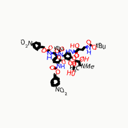 CN[C@@H](C)[C@@H](O)[C@H](OCCO)O[C@@H]1[C@@H](O)[C@H](O[C@H]2OC(CNC(=O)OCc3ccc([N+](=O)[O-])cc3)=CC[C@H]2NC(=O)OCc2ccc([N+](=O)[O-])cc2)[C@@H](NC(=O)OC(C)(C)C)C[C@H]1NC(=O)[C@@H](O)CCNC(=O)OC(C)(C)C